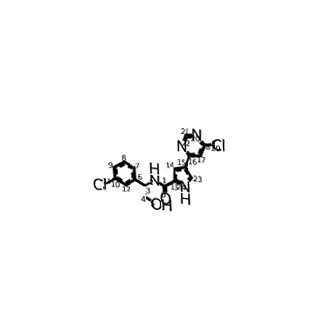 O=C(N[C@H](CO)c1cccc(Cl)c1)c1cc(-c2cc(Cl)ncn2)c[nH]1